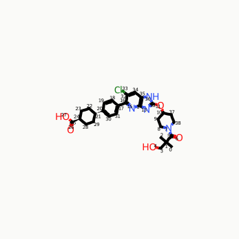 CC(C)(CO)C(=O)N1CCC(Oc2nc3nc(-c4ccc([C@H]5CC[C@H](C(=O)O)CC5)cc4)c(Cl)cc3[nH]2)CC1